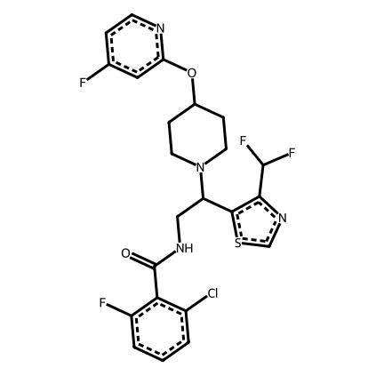 O=C(NCC(c1scnc1C(F)F)N1CCC(Oc2cc(F)ccn2)CC1)c1c(F)cccc1Cl